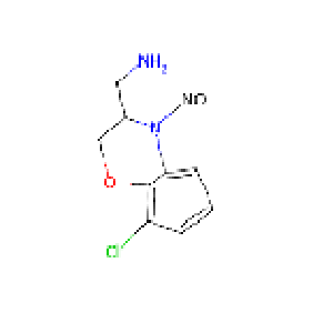 NCC1COc2c(Cl)cccc2N1N=O